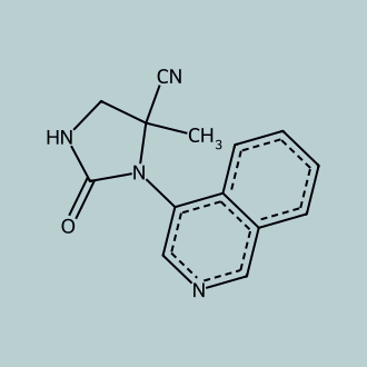 CC1(C#N)CNC(=O)N1c1cncc2ccccc12